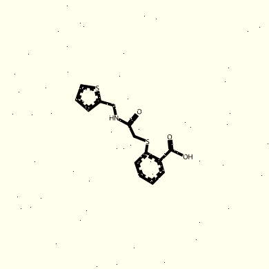 O=C(CSc1ccccc1C(=O)O)NCc1cccs1